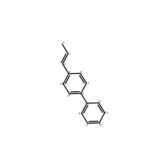 CC=Cc1ccc(-c2cc[c]cc2)cc1